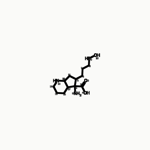 NC1(C(=O)O)C(CCCBO)CC2NCCCC21